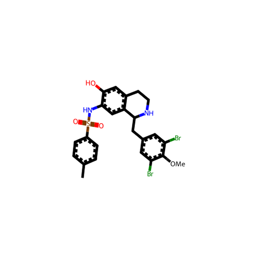 COc1c(Br)cc(CC2NCCc3cc(O)c(NS(=O)(=O)c4ccc(C)cc4)cc32)cc1Br